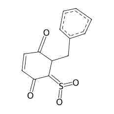 O=C1C=CC(=O)C(Cc2ccccc2)C1=S(=O)=O